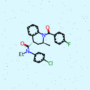 CCN(C(=O)[C@H]1C[C@H](C)N(C(=O)c2ccc(F)cc2)c2ccccc21)c1ccc(Cl)cc1